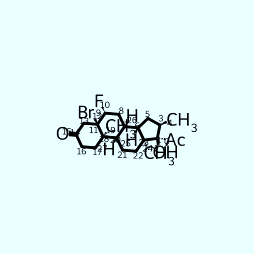 CC(=O)[C@@]1(O)[C@H](C)C[C@H]2[C@@H]3C[C@@H](F)[C@@]4(Br)CC(=O)CC[C@]4(C)[C@H]3CC[C@@]21C